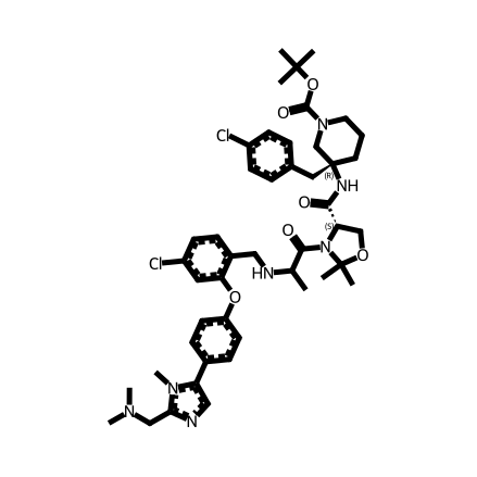 CC(NCc1ccc(Cl)cc1Oc1ccc(-c2cnc(CN(C)C)n2C)cc1)C(=O)N1[C@H](C(=O)N[C@@]2(Cc3ccc(Cl)cc3)CCCN(C(=O)OC(C)(C)C)C2)COC1(C)C